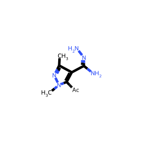 CC(=O)c1c(/C(N)=N\N)c(C)nn1C